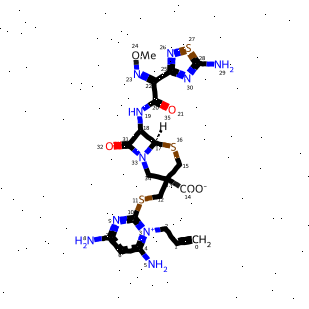 C=CC[n+]1c(N)cc(N)nc1SCC1(C(=O)[O-])CS[C@@H]2C(NC(=O)C(=NOC)c3nsc(N)n3)C(=O)N2C1